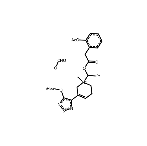 CCCCCCOc1nsnc1C1=CCC[N+](C)(C(OC(=O)Cc2ccccc2OC(C)=O)C(C)C)C1.O=C[O-]